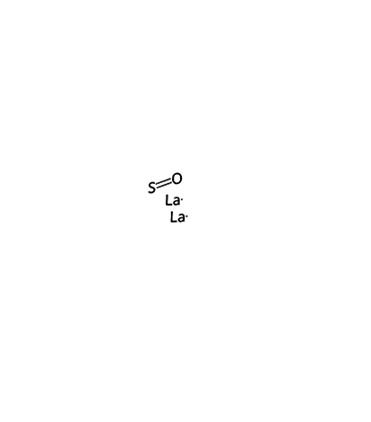 O=S.[La].[La]